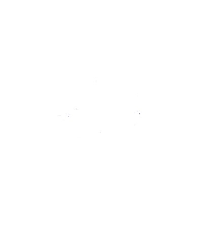 N[C@@H]1C/C=C/CCC(=O)N[C@H](c2ccccc2)COC1=O